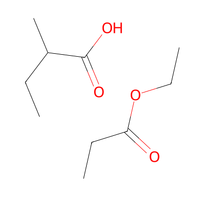 CCC(C)C(=O)O.CCOC(=O)CC